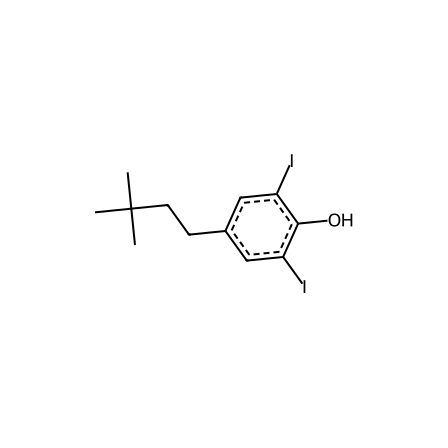 CC(C)(C)CCc1cc(I)c(O)c(I)c1